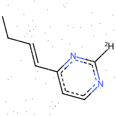 [2H]c1nccc(C=CCC)n1